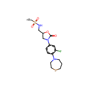 CCCCS(=O)(=O)NCC1CN(c2ccc(N3CCCSCC3)c(F)c2)C(=O)O1